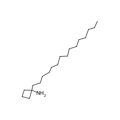 CCCCCCCCCCCCCCCC1(N)CCC1